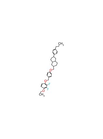 CCCc1ccc(C2CCC3CC(COc4ccc(COc5ccc(OCC)c(F)c5F)cc4)CCC3C2)cc1